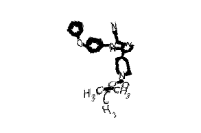 CC(C)(C)OC(=O)N1CCC(c2ccnc3c(C#N)n(-c4ccc(Oc5ccccc5)cc4)nc23)CC1